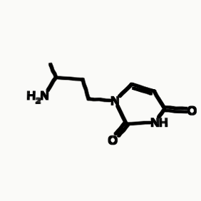 CC(N)CCn1ccc(=O)[nH]c1=O